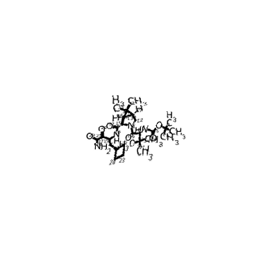 CC(C)(C)OC(=O)N[C@H](C(=O)N1C[C@H]2[C@@H]([C@H]1C(=O)NC(CC1CCC1)C(=O)C(N)=O)C2(C)C)C(C)(C)C